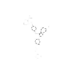 CN(C)[C@H]1CCCC[C@@H]1Oc1ccc(Cc2c(-c3ccc(OCCN4CCCC4)cc3)sc3cc(O)ccc23)cc1